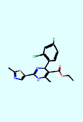 CCOC(=O)C1=C(C)NC(c2cnc(C)s2)=NC1c1ccc(F)cc1Cl